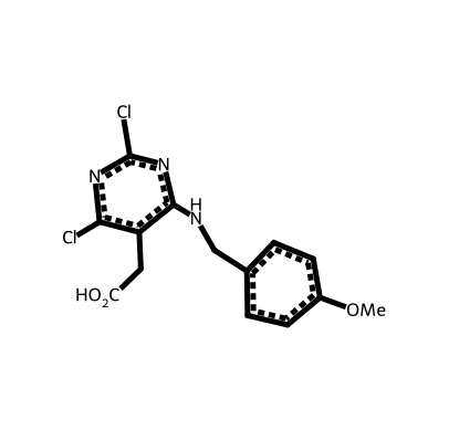 COc1ccc(CNc2nc(Cl)nc(Cl)c2CC(=O)O)cc1